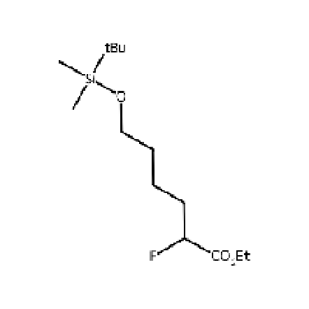 CCOC(=O)C(F)CCCCO[Si](C)(C)C(C)(C)C